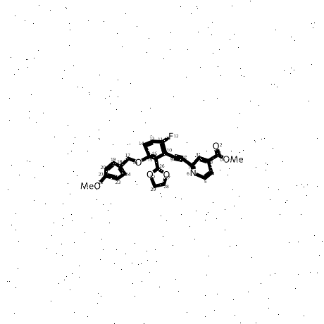 COC(=O)c1ccnc(C#Cc2c(F)ccc(OCc3ccc(OC)cc3)c2C2OCCO2)c1